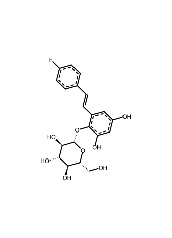 OC[C@H]1O[C@@H](Oc2c(O)cc(O)cc2/C=C/c2ccc(F)cc2)[C@H](O)[C@@H](O)[C@@H]1O